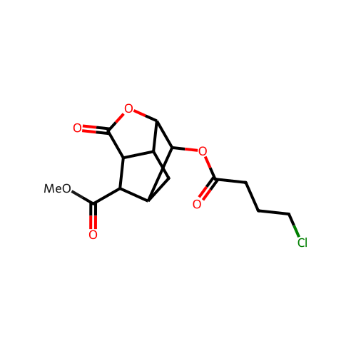 COC(=O)C1C2CC3C(OC(=O)C31)C2OC(=O)CCCCl